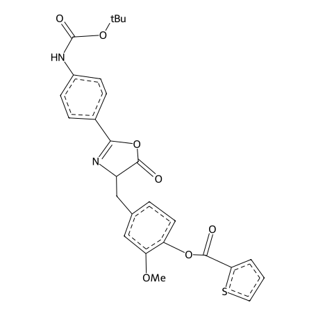 COc1cc(CC2N=C(c3ccc(NC(=O)OC(C)(C)C)cc3)OC2=O)ccc1OC(=O)c1cccs1